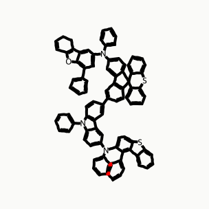 C1=Cc2oc3c(-c4ccccc4)cc(N(c4ccccc4)c4ccc5c(c4)-c4cc(-c6ccc7c(c6)c6cc(N(c8ccccc8)c8ccc9sc%10ccccc%10c9c8-c8ccccc8)ccc6n7-c6ccccc6)ccc4C54c5ccccc5Sc5ccccc54)cc3c2CC1